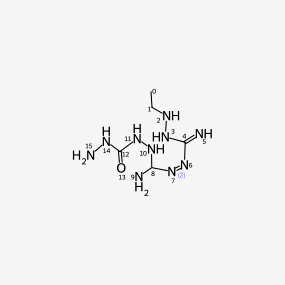 CCNNC(=N)/N=N\C(N)NNC(=O)NN